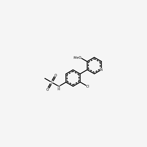 COc1ccncc1-c1ccc(NS(C)(=O)=O)cc1Cl